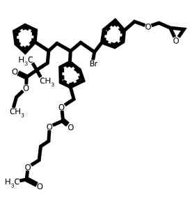 CCOC(=O)C(C)(C)CC(CC(CC(Br)c1ccc(COCC2CO2)cc1)c1ccc(COC(=O)OCCCOC(C)=O)cc1)c1ccccc1